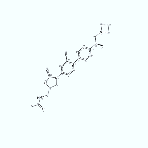 CC(=O)NC[C@H]1CN(c2ccc(-c3ccc([C@H](C)CN4CCC4)cc3)c(F)c2)C(=O)O1